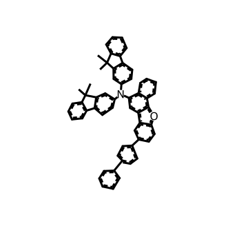 CC1(C)c2ccccc2-c2ccc(N(c3ccc4c(c3)C(C)(C)c3ccccc3-4)c3cc4c5cc(-c6ccc(-c7ccccc7)cc6)ccc5oc4c4ccccc34)cc21